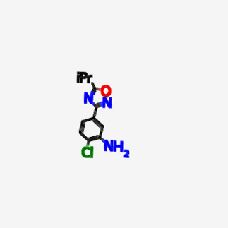 CC(C)c1nc(-c2ccc(Cl)c(N)c2)no1